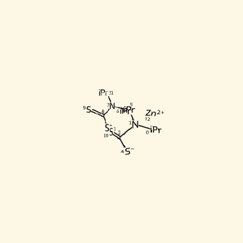 CC(C)N(C(=S)[S-])C(C)C.CC(C)N(C(=S)[S-])C(C)C.[Zn+2]